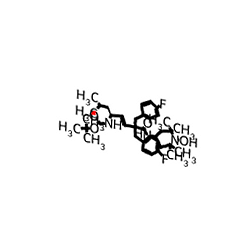 CC(C)C[C@@H](/C=C/C(Cc1ccc(F)cc1)(Cc1ccc(F)cc1)C(=O)NC1CC(C)(C)N(O)C(C)(C)C1)NC(=O)OC(C)(C)C